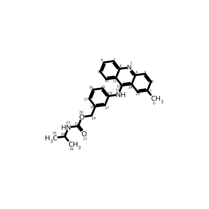 Cc1ccc2nc3ccccc3c(Nc3cccc(COC(=O)NC(C)C)c3)c2c1